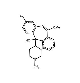 COC1=Cc2cc(Cl)ccc2C(O)(C2CCN(C)CC2)c2ncccc21